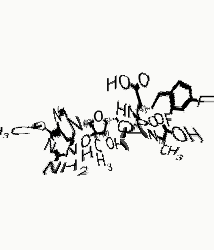 COc1nc(N)nc2c1ncn2[C@@H]1O[C@H](COP(=O)(N[C@@H](C)C(=O)O)N[C@@H](CCc2ccc(F)cc2F)C(=O)O)[C@@H](O)[C@@]1(C)O